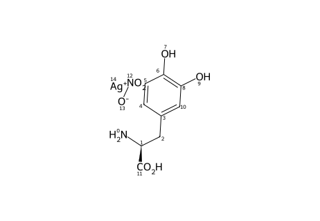 N[C@@H](Cc1ccc(O)c(O)c1)C(=O)O.O=[N+]([O-])[O-].[Ag+]